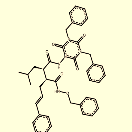 CC(C)C[C@@H](C(=O)Nn1c(=O)n(Cc2ccccc2)c(=O)n(Cc2ccccc2)c1=O)[C@H](C/C=C/c1ccccc1)C(=O)NOCc1ccccc1